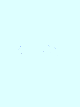 COc1cc2c(N)ncnc2cc1OCCCn1ccnn1